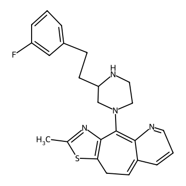 Cc1nc2c(s1)CC=c1cccnc1=C2N1CCNC(CCc2cccc(F)c2)C1